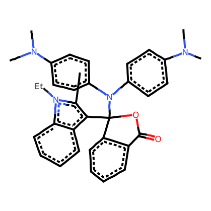 CCn1c(C)c(C2(N(c3ccc(N(C)C)cc3)c3ccc(N(C)C)cc3)OC(=O)c3ccccc32)c2ccccc21